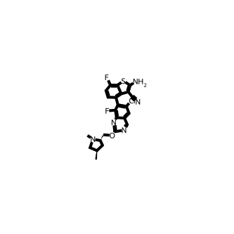 C[C@@H]1C[C@@H](COc2ncc3cc(Cl)c(-c4ccc(F)c5sc(N)c(C#N)c45)c(F)c3n2)N(C)C1